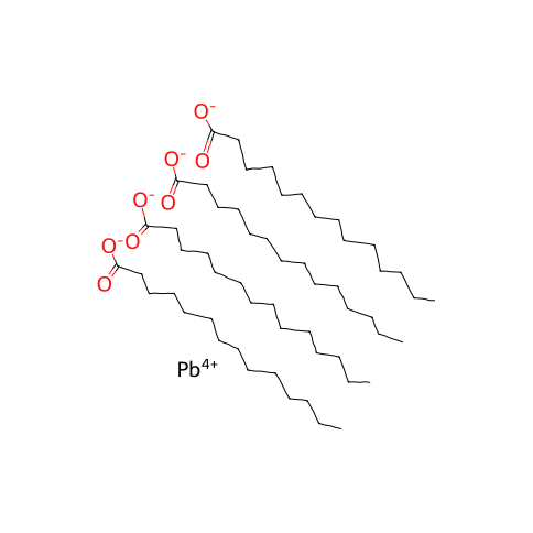 CCCCCCCCCCCCCC(=O)[O-].CCCCCCCCCCCCCC(=O)[O-].CCCCCCCCCCCCCC(=O)[O-].CCCCCCCCCCCCCC(=O)[O-].[Pb+4]